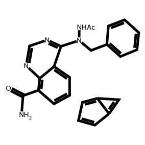 CC(=O)NN(Cc1ccccc1)c1ncnc2c(C(N)=O)cccc12.c1cc2cc-2c1